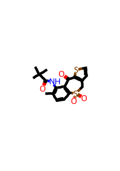 Cc1ccc2c(c1NC(=O)C(C)(C)C)C(=O)c1sccc1CS2(=O)=O